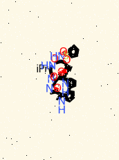 CC(C)[C@@H]1NC(=O)[C@@H](NS(=O)(=O)c2ccccc2)Cc2ccc3c(c2)C24c5cccc(c5NC2O3)-c2cccc3[nH]cc(c23)-c2cnc(o2)-c2nc1oc24